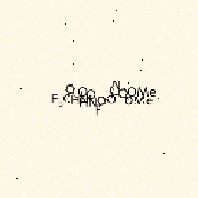 COc1cc2nccc(Oc3ccc(NC(=O)NC(=O)Cc4ccccc4C(F)(F)F)c(F)c3)c2cc1OC